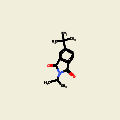 CC(C)N1C(=O)c2ccc(C(C)(C)C)cc2C1=O